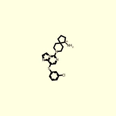 N[C@@H]1CCCC12CCN(c1ncc(Sc3cccc(Cl)c3)c3nccn13)CC2